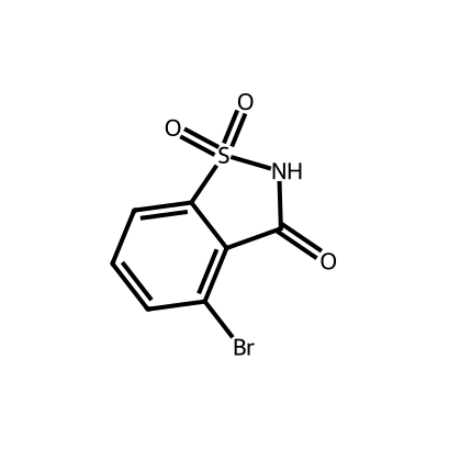 O=C1NS(=O)(=O)c2cccc(Br)c21